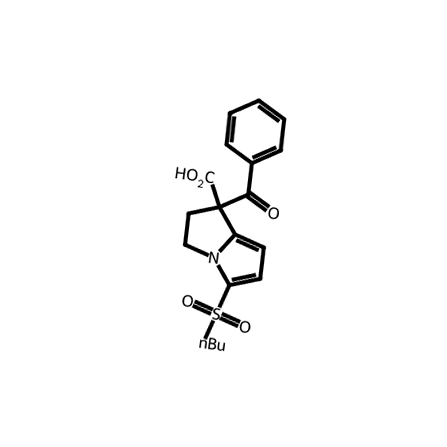 CCCCS(=O)(=O)c1ccc2n1CCC2(C(=O)O)C(=O)c1ccccc1